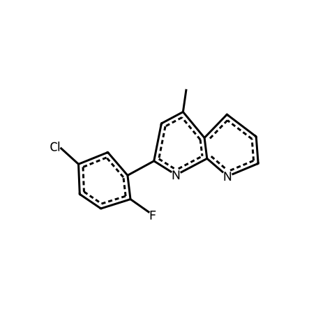 Cc1cc(-c2cc(Cl)ccc2F)nc2ncccc12